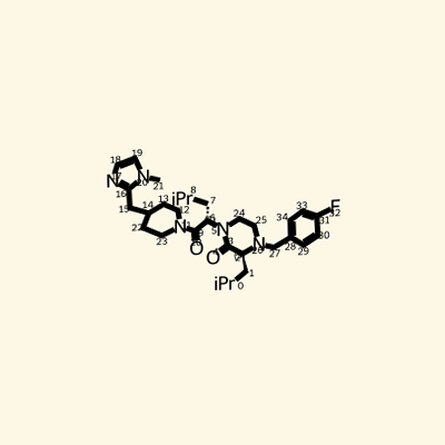 CC(C)C[C@H]1C(=O)N([C@@H](CC(C)C)C(=O)N2CCC(Cc3nccn3C)CC2)CCN1Cc1ccc(F)cc1